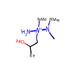 CCC(O)C[N+](N)(NC)N(C)NC